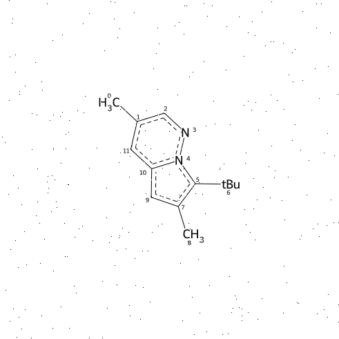 Cc1cnn2c(C(C)(C)C)c(C)cc2c1